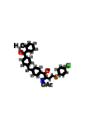 CC(=O)O/N=C(\CCSc1ccc(Cl)cc1)C(=O)c1ccc(Cc2ccc(C(=O)c3ccccc3C)cc2)cc1